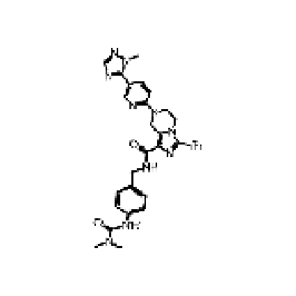 CC(C)c1nc(C(=O)NCc2ccc(NC(=O)N(C)C)cc2)c2n1CCN(c1ccc(-c3ncnn3C)cn1)C2